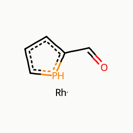 O=Cc1ccc[pH]1.[Rh]